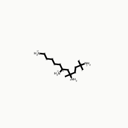 CC(C)(N)CCC(C)(N)CC(N)CCCCCN